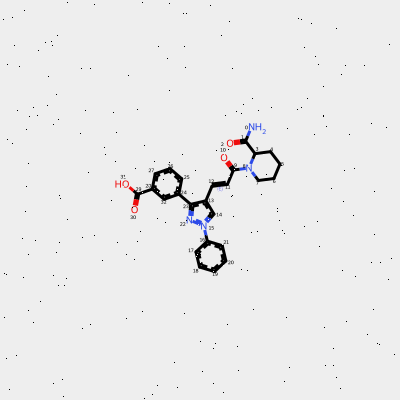 NC(=O)C1CCCCN1C(=O)/C=C/c1cn(-c2ccccc2)nc1-c1cccc(C(=O)O)c1